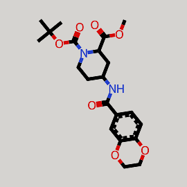 COC(=O)C1CC(NC(=O)c2ccc3c(c2)OCCO3)CCN1C(=O)OC(C)(C)C